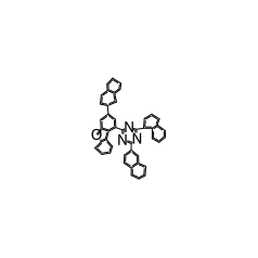 c1ccc2cc(-c3cc(-c4nc(-c5ccc6ccccc6c5)nc(-c5cccc6ccccc56)n4)c4c(c3)oc3ccccc34)ccc2c1